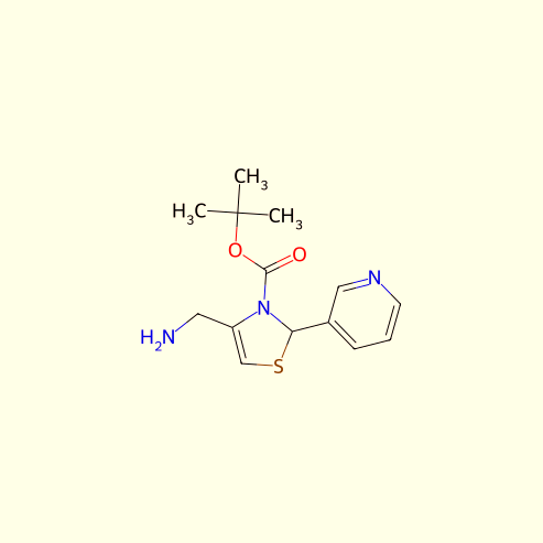 CC(C)(C)OC(=O)N1C(CN)=CSC1c1cccnc1